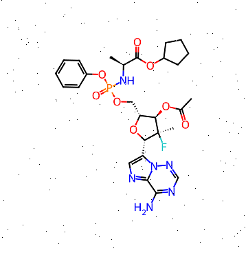 CC(=O)O[C@@H]1[C@@H](COP(=O)(N[C@@H](C)C(=O)OC2CCCC2)Oc2ccccc2)O[C@@H](c2cnc3c(N)ncnn23)[C@]1(C)F